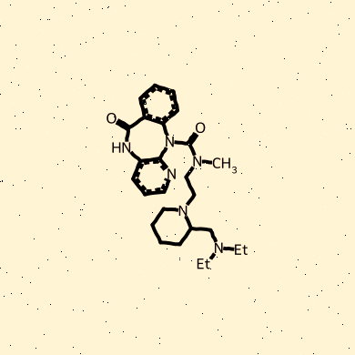 CCN(CC)CC1CCCCN1CCN(C)C(=O)N1c2ccccc2C(=O)Nc2cccnc21